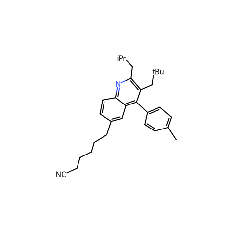 Cc1ccc(-c2c(CC(C)(C)C)c(CC(C)C)nc3ccc(CCCCCC#N)cc23)cc1